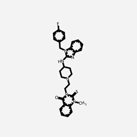 Cn1c(=S)n(CCN2CCC(Nc3nc4ccccc4n3Cc3ccc(F)cc3)CC2)c(=O)c2ccccc21